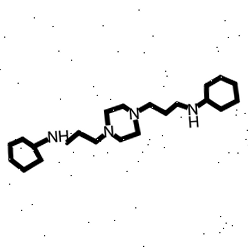 C1CCC(NCCCN2CCN(CCCNC3CCCCC3)CC2)CC1